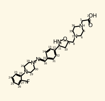 O=C(O)CN1CCN(CC2CC(c3ccc(C=NN4CCN(c5ccccc5F)CC4)cc3)NO2)CC1